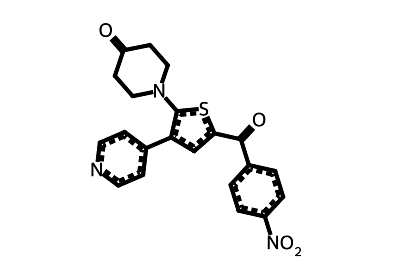 O=C1CCN(c2sc(C(=O)c3ccc([N+](=O)[O-])cc3)cc2-c2ccncc2)CC1